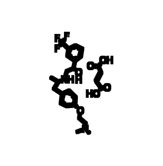 CC(Cc1ccc(OCCN(C)C)cc1)NCC(O)c1cccc(C(F)(F)F)c1.O=C(O)/C=C/C(=O)O